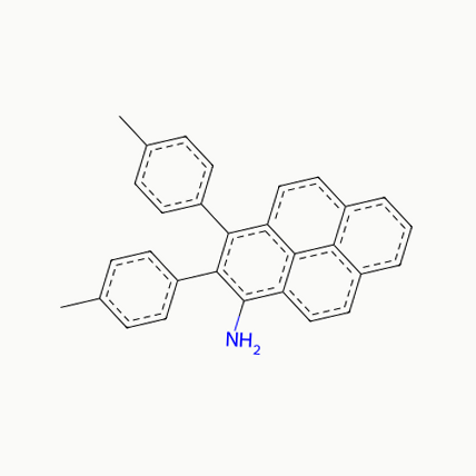 Cc1ccc(-c2c(N)c3ccc4cccc5ccc(c2-c2ccc(C)cc2)c3c45)cc1